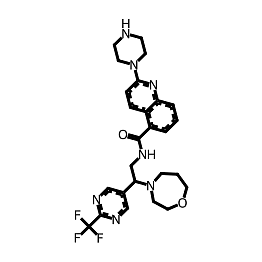 O=C(NCC(c1cnc(C(F)(F)F)nc1)N1CCCOCC1)c1cccc2nc(N3CCNCC3)ccc12